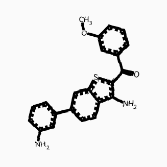 COc1cccc(C(=O)c2sc3cc(-c4cccc(N)c4)ccc3c2N)c1